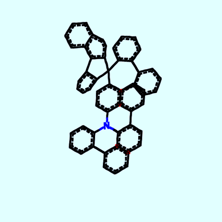 c1ccc(-c2ccccc2N(c2ccc3c(c2)-c2ccccc2-c2ccccc2C32c3ccccc3-c3c2ccc2ccccc32)c2ccccc2-c2ccccc2)cc1